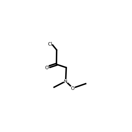 CON(C)CC(=O)CCl